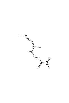 C=C(C\C=C(C)/C(C)=C\C=C\C)B(C)C